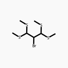 CSC(SC)C(Br)C(SC)SC